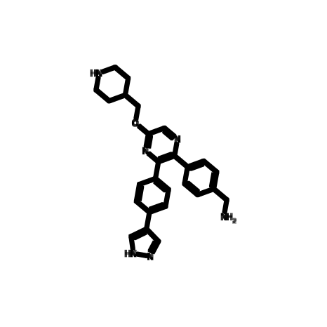 NCc1ccc(-c2ncc(OCC3CCNCC3)nc2-c2ccc(-c3cn[nH]c3)cc2)cc1